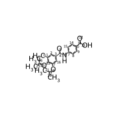 Cc1cc(C(=O)Nc2ccc(C(=O)O)cc2)cc(OC(C)C)c1OC(C)C